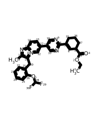 CCOC(=O)C1C=C(c2ncc(-c3ccc4nc(C)c(Cc5ccccc5OC(F)F)n4c3)cn2)CCC1